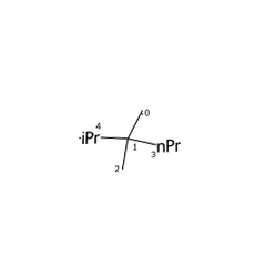 [CH2]C(C)(CCC)[C](C)C